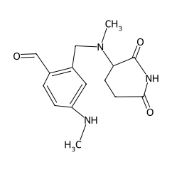 CNc1ccc(C=O)c(CN(C)C2CCC(=O)NC2=O)c1